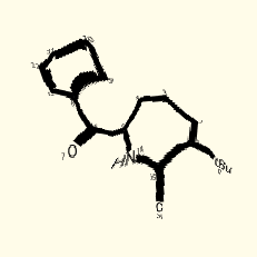 CC(C)(C)C1CCCC(C(=O)c2ccccc2)NC1=O